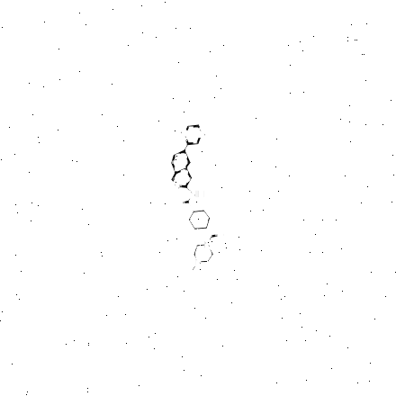 CN1CCN(C(=O)[C@H]2CC[C@H](C(=O)Nc3cc4cc(-c5cnccn5)ccc4cn3)CC2)CC1